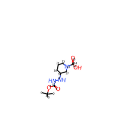 CC(C)(C)OC(=O)NNC1CCCN(C(=O)O)C1